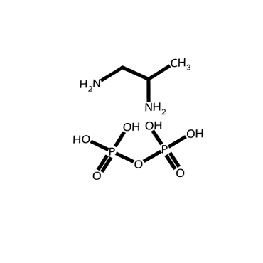 CC(N)CN.O=P(O)(O)OP(=O)(O)O